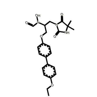 CCOc1ccc(-c2ccc(OCC(CN3C(=O)NC(C)(C)C3=O)N(O)C=O)cc2)cc1